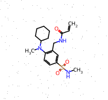 C=CC(=O)NCc1cc(S(=O)(=O)NC)ccc1N(C)C1CCCCC1